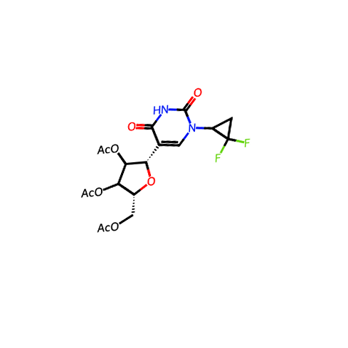 CC(=O)OC[C@H]1O[C@@H](c2cn(C3CC3(F)F)c(=O)[nH]c2=O)C(OC(C)=O)C1OC(C)=O